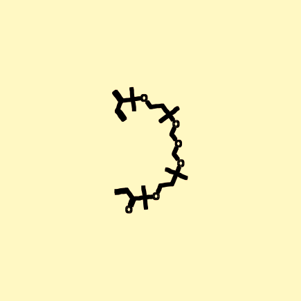 C=CC(=C)C(C)(C)OCCC(C)(C)OCOCOC(C)(C)CCOC(C)(C)C(=O)C=C